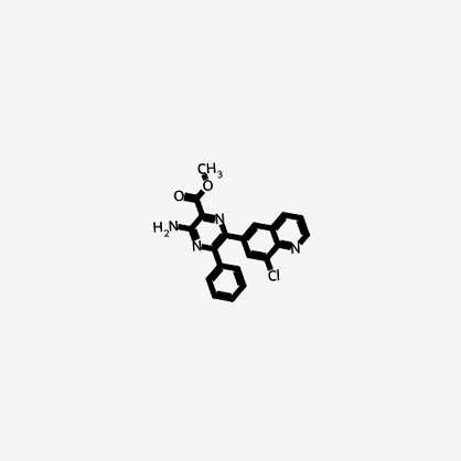 COC(=O)c1nc(-c2cc(Cl)c3ncccc3c2)c(-c2ccccc2)nc1N